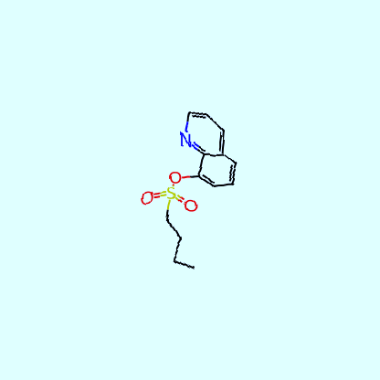 CCCCS(=O)(=O)Oc1cccc2cccnc12